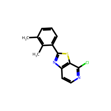 Cc1cccc(-c2nc3ccnc(Cl)c3s2)c1C